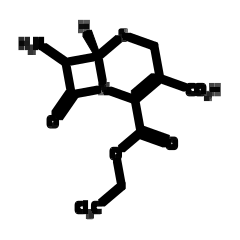 NC1C(=O)N2C(C(=O)OCC(Cl)(Cl)Cl)=C(C(=O)O)CS[C@@H]12